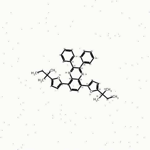 CCC(C)(C)c1ccc(-c2ccc(-c3ccc(C(C)(C)CC)o3)c3nc(-c4ccccc4)c(-c4ccccc4)nc23)o1